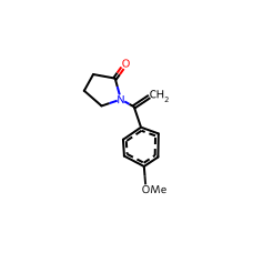 C=C(c1ccc(OC)cc1)N1CCCC1=O